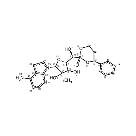 C[C@@]1(O)[C@H](O)[C@@H]([C@@H](O)[P@@]2(=O)OCC[C@@H](c3cccnc3)O2)O[C@H]1n1ccc2c(N)ncnc21